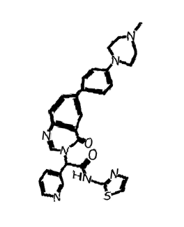 CN1CCN(c2ccc(-c3ccc4ncn(C(C(=O)Nc5nccs5)c5cccnc5)c(=O)c4c3)cc2)CC1